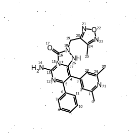 Cc1cc(-c2c(-c3ccccc3)nc(N)[n+]3c(=O)n(Cc4nonc4C)[nH]c23)cc(C)n1